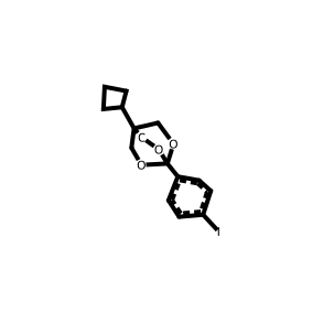 Ic1ccc(C23OCC(C4CCC4)(CO2)CO3)cc1